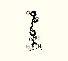 CCC(CC)C(=O)NC1CCN(CCCN2C=COC(C3=CC=CC(=O)C3)=C2)CC1